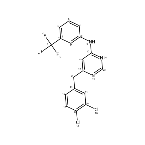 FC(F)(F)c1cccc(Nc2cc(Cc3ccc(Cl)c(Cl)c3)ncn2)c1